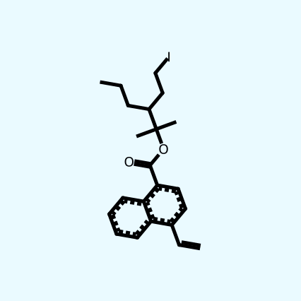 C=Cc1ccc(C(=O)OC(C)(C)C(CCC)CCI)c2ccccc12